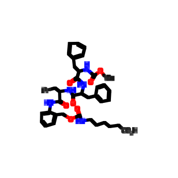 CC(C)CC(NC(=O)C(Cc1ccccc1)NC(=O)C(Cc1ccccc1)NC(=O)OC(C)(C)C)C(=O)Nc1ccccc1COC(=O)NCCCCCC(=O)O